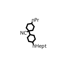 CCCCCCCC1CCC(C2(C#N)CCC(CCC)CC2)CC1